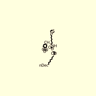 CCCCCCCCCCCCCCCCC[C@@H]1OC[C@@H](COC(=O)NCCCCCCC[n+]2ccsc2)O1.Cc1ccc(S(=O)(=O)[O-])cc1